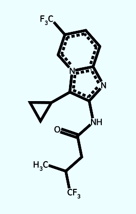 CC(CC(=O)Nc1nc2ccc(C(F)(F)F)cn2c1C1CC1)C(F)(F)F